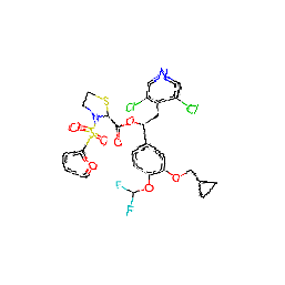 O=C(O[C@@H](Cc1c(Cl)cncc1Cl)c1ccc(OC(F)F)c(OCC2CC2)c1)[C@@H]1SCCN1S(=O)(=O)c1ccco1